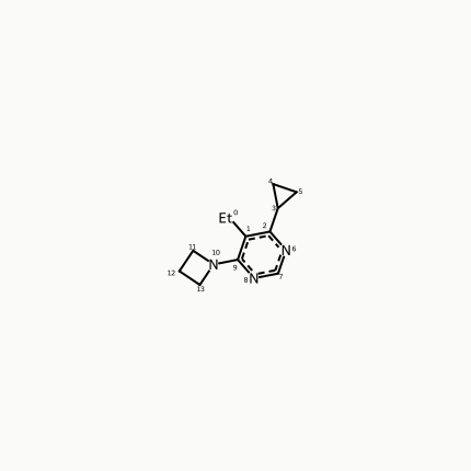 CCc1c(C2CC2)ncnc1N1CCC1